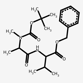 CC(C)C(NC(=O)C(C)N(C)C(=O)OC(C)(C)C)C(=O)OCc1ccccc1